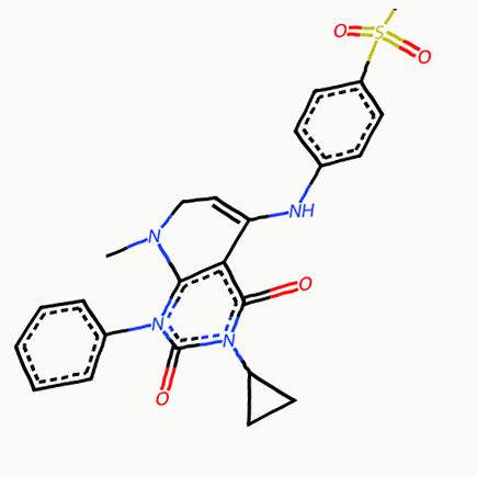 CN1CC=C(Nc2ccc(S(C)(=O)=O)cc2)c2c1n(-c1ccccc1)c(=O)n(C1CC1)c2=O